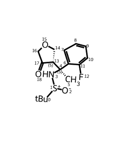 CC(C)(C)[S+]([O-])N[C@](C)(c1ccccc1F)[C@H]1COCC1=O